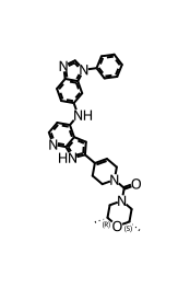 C[C@@H]1CN(C(=O)N2CC=C(c3cc4c(Nc5ccc6ncn(-c7ccccc7)c6c5)ccnc4[nH]3)CC2)C[C@H](C)O1